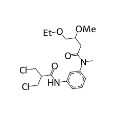 CCOCC(CC(=O)N(C)c1cccc(NC(=O)C(CCl)CCl)c1)OC